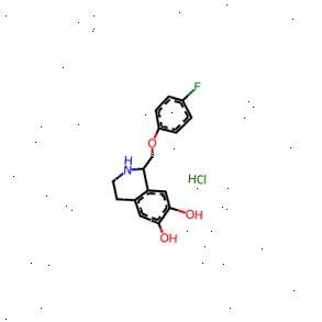 Cl.Oc1cc2c(cc1O)C(COc1ccc(F)cc1)NCC2